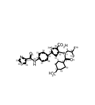 CC1CCC(C(=O)N(CC(F)F)c2cc(-c3ccc(NC(=O)c4cscn4)cc3)sc2C(=O)O)CC1